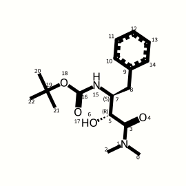 CN(C)C(=O)[C@H](O)[C@H](Cc1ccccc1)NC(=O)OC(C)(C)C